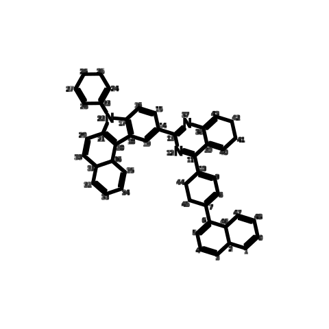 C1=CC2C=CC=C(C3=CC=C(c4nc(-c5ccc6c(c5)c5c(n6C6=CCCC=C6)C=CC6C=CC=CC56)nc5c4=CCCC=5)CC3)C2C=C1